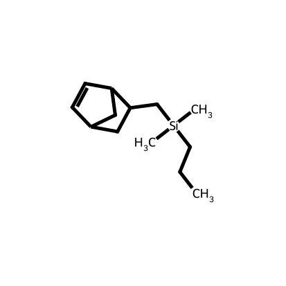 CCC[Si](C)(C)CC1CC2C=CC1C2